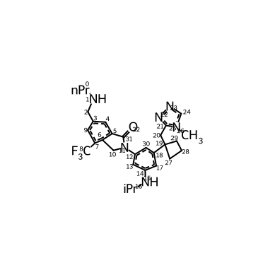 CCCNCc1cc2c(c(C(F)(F)F)c1)CN(c1cc(NC(C)C)cc(C3(Cc4nncn4C)CCC3)c1)C2=O